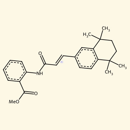 COC(=O)c1ccccc1NC(=O)/C=C/c1ccc2c(c1)C(C)(C)CCC2(C)C